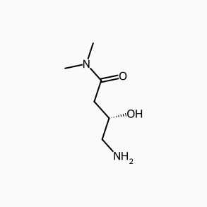 CN(C)C(=O)C[C@H](O)CN